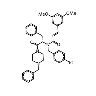 CCc1ccc(CN(C(=O)/C=C/c2cc(OC)cc(OC)c2)[C@@H](Cc2ccccc2)C(=O)N2CCN(Cc3ccccc3)CC2)cc1